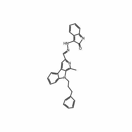 Cc1nc(/C=N/NC2=c3ccccc3=NC2=O)cc2c3ccccc3n(CCCc3ccccc3)c12